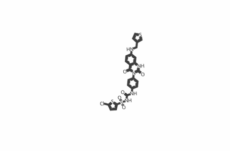 O=C(Nc1ccc(-n2c(=O)[nH]c3cc(NCc4ccsc4)ccc3c2=O)cc1)NS(=O)(=O)c1ccc(Cl)s1